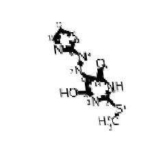 CSc1nc(O)c(N=Nc2nccs2)c(=O)[nH]1